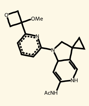 COC1(c2cccc(N3CC4(CC4)C4=CNC(NC(C)=O)=CC43)n2)COC1